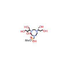 COP(=O)(O)CN1CCN([C@H](CO)CCO)CCN([C@H](CO)[C@H](O)CO)CC1